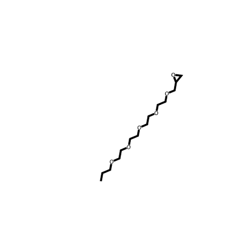 CCCOCCOCCOCCOCCOCC1CO1